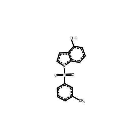 O=Cc1cccc2c1ccn2S(=O)(=O)c1cccc(C(F)(F)F)c1